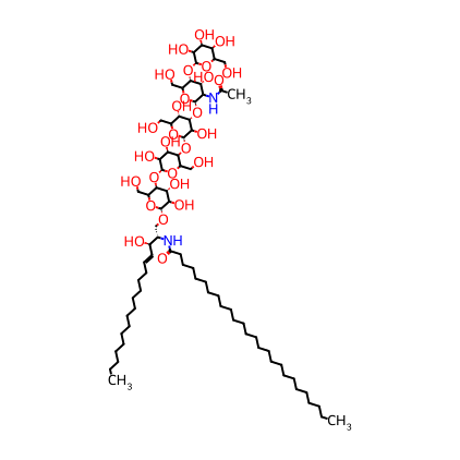 CCCCCCCCCCCCC/C=C/[C@@H](O)[C@H](CO[C@@H]1OC(CO)[C@@H](O[C@@H]2OC(CO)[C@H](O[C@@H]3OC(CO)[C@H](O)[C@H](O[C@@H]4OC(CO)[C@H](O[C@@H]5OC(CO)[C@H](O)[C@H](O)C5O)[C@H](O)C4NC(C)=O)C3O)[C@H](O)C2O)[C@H](O)C1O)NC(=O)CCCCCCCCCCCCCCCCCCCCCCCCC